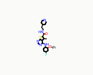 Cc1c(C(=O)NCCc2ccncc2)sc2ncnc(Nc3ccc(F)cc3OC(C)C)c12